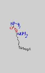 CCCCCCCCCCCCC(N)COC(=O)CN